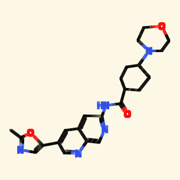 Cc1ncc(-c2cnc3cnc(NC(=O)C4CCC(N5CCOCC5)CC4)cc3c2)o1